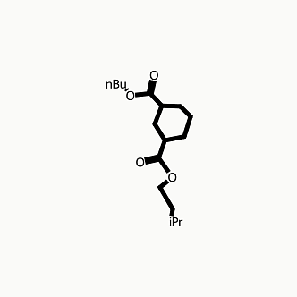 CCCCOC(=O)C1CCCC(C(=O)OCCC(C)C)C1